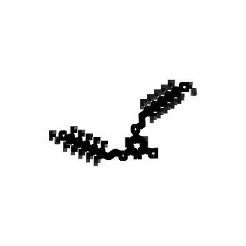 FC(F)(F)C(F)(F)C(F)(F)C(F)(F)C(F)(F)C(F)(F)CCOc1nc(Cl)nc(OCCC(F)(F)C(F)(F)C(F)(F)C(F)(F)C(F)(F)C(F)(F)F)n1